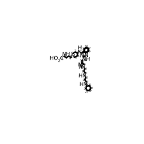 NC(CCCN1CCC(Nc2nc(NCc3cn(CCCNCCCNC4CCCCC4)nn3)nc3ccccc23)CC1)C(=O)O